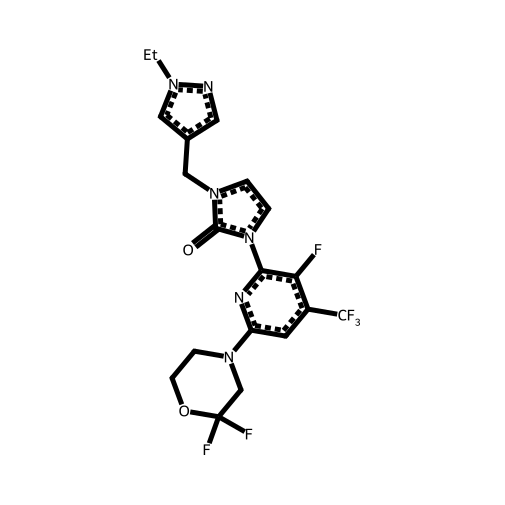 CCn1cc(Cn2ccn(-c3nc(N4CCOC(F)(F)C4)cc(C(F)(F)F)c3F)c2=O)cn1